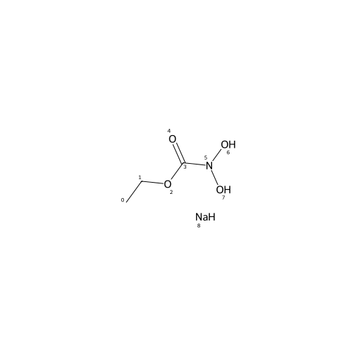 CCOC(=O)N(O)O.[NaH]